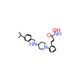 CC(C)c1ccc(CNC2CCN(c3ccccc3C=CC(=O)NO)CC2)cc1